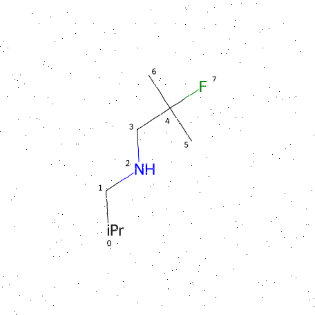 CC(C)CNCC(C)(C)F